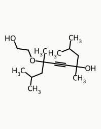 CC(C)CC(C)(O)C#CC(C)(CC(C)C)OCCO